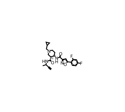 C#CC(C)NC(=O)[C@H]1CN(CC2CC2)CC[C@@H]1NC(=O)c1cc(-c2ccc(F)cc2F)on1